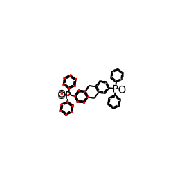 O=P(c1ccccc1)(c1ccccc1)c1ccc2c(c1)C1c3ccc(P(=O)(c4ccccc4)c4ccccc4)cc3C2c2cc(P(=O)(c3ccccc3)c3ccccc3)ccc21